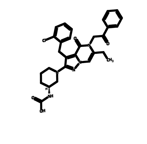 CCc1cn2nc(N3CCC[C@@H](NC(=O)O)C3)c(Cc3ccccc3Cl)c2c(=O)n1CC(=O)c1ccccc1